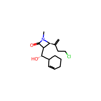 C=C(CCCl)[C@H]1C([C@@H](O)C2C=CCCC2)C(=O)N1C